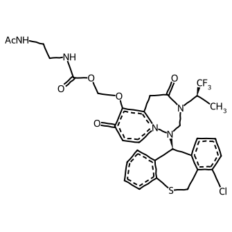 CC(=O)NCCNC(=O)OCOc1c2n(ccc1=O)N([C@@H]1c3ccccc3SCc3c(Cl)cccc31)CN([C@H](C)C(F)(F)F)C(=O)C2